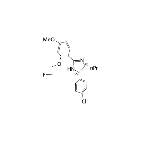 CCC[C@H]1N=C(c2ccc(OC)cc2OCCF)N[C@H]1c1ccc(Cl)cc1